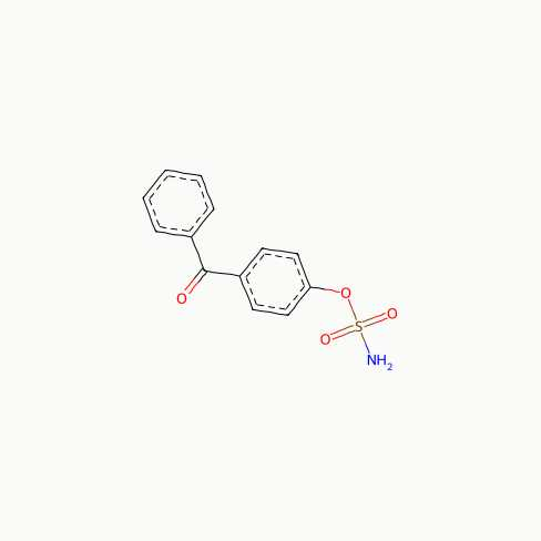 NS(=O)(=O)Oc1ccc(C(=O)c2ccccc2)cc1